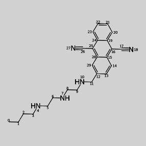 CCCCNCCNCCNCc1ccc2c(C#N)c3ccccc3c(C#N)c2c1